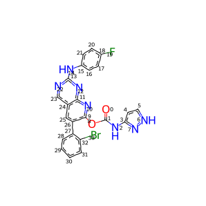 O=C(Nc1cc[nH]n1)Oc1nc2nc(Nc3ccc(F)cc3)ncc2cc1-c1ccccc1Br